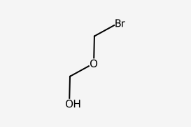 OCOCBr